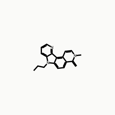 C=C1c2ccc3c(c2C=CN1C)c1ncccc1n3CCC